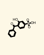 O=C(c1ccccc1)c1ccc(S(=O)(=O)O)cc1O